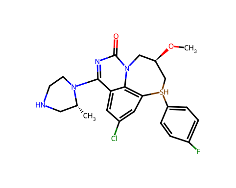 CO[C@@H]1Cn2c(=O)nc(N3CCNC[C@H]3C)c3cc(Cl)cc(c32)[SH](c2ccc(F)cc2)C1